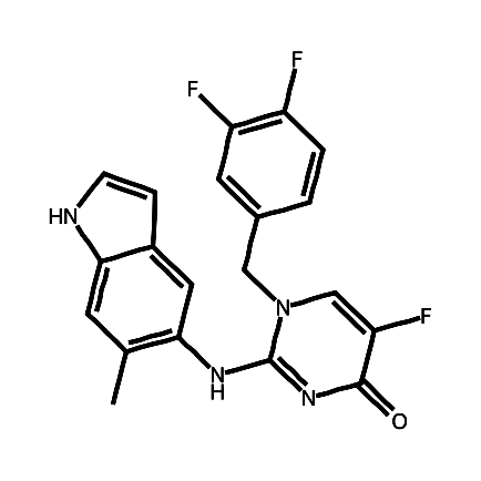 Cc1cc2[nH]ccc2cc1Nc1nc(=O)c(F)cn1Cc1ccc(F)c(F)c1